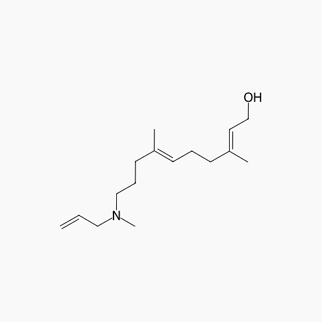 C=CCN(C)CCCC(C)=CCCC(C)=CCO